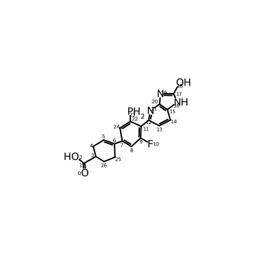 O=C(O)C1CC=C(c2cc(F)c(-c3ccc4[nH]c(O)nc4n3)c(P)c2)CC1